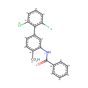 O=C(Nc1cc(-c2c(F)cccc2Cl)ccc1C(=O)O)c1ccccc1